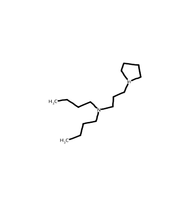 CCCCN(CCCC)CC[CH2][In]1[CH2]CC[CH2]1